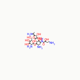 C[C@H](N)[C@H]1O[C@@H](OC2[C@H](O[C@H]3OC(CO)[C@@H](O)[C@H](O)C3N)C(N)C[C@@H](NC(=O)[C@@H](O)CCN)[C@H]2O)[C@@H](O)C1O